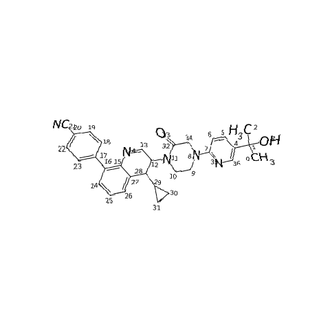 CC(C)(O)c1ccc(N2CCN(C3C=Nc4c(-c5ccc(C#N)cc5)cccc4C3C3CC3)C(=O)C2)nc1